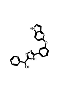 OC(c1ccccc1)c1nnc(-c2cccc(Oc3ccc4[nH]ccc4n3)c2)[nH]1